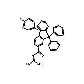 NC(N)=NC(=O)c1ccc(Oc2ccc(F)cc2)c(C(c2ccccc2)(c2ccccc2)c2ccccc2)c1